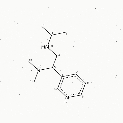 CC(C)NCC(c1cccnc1)N(C)C